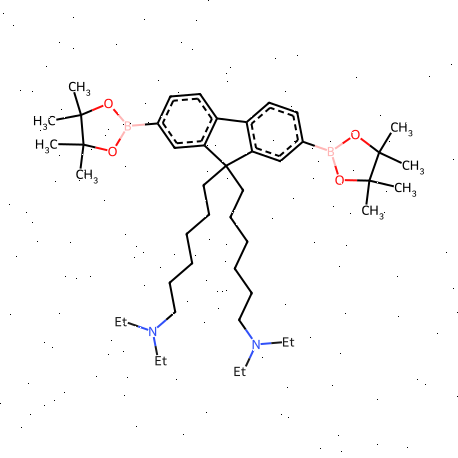 CCN(CC)CCCCCCC1(CCCCCCN(CC)CC)c2cc(B3OC(C)(C)C(C)(C)O3)ccc2-c2ccc(B3OC(C)(C)C(C)(C)O3)cc21